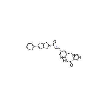 O=C1Nc2ncc(/C=C/C(=O)N3CC4C=C(c5ccccc5)CC4C3)cc2Cn2cncc21